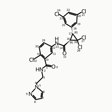 O=C(NCCn1cccn1)c1cc(NC(=O)[C@H]2[C@H](c3cc(Cl)cc(Cl)c3)C2(Cl)Cl)ccc1Cl